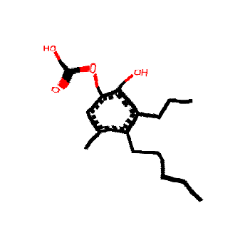 CCCCCc1c(C)cc(OC(=O)O)c(O)c1CCC